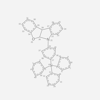 c1ccc([Si](c2ccccc2)(c2ccccc2)c2ccc(N3c4ccccc4C4c5ccccc5OC43)cc2)cc1